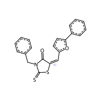 O=C1/C(=C\c2ccc(-c3ccccc3)o2)SC(=S)N1Cc1ccccc1